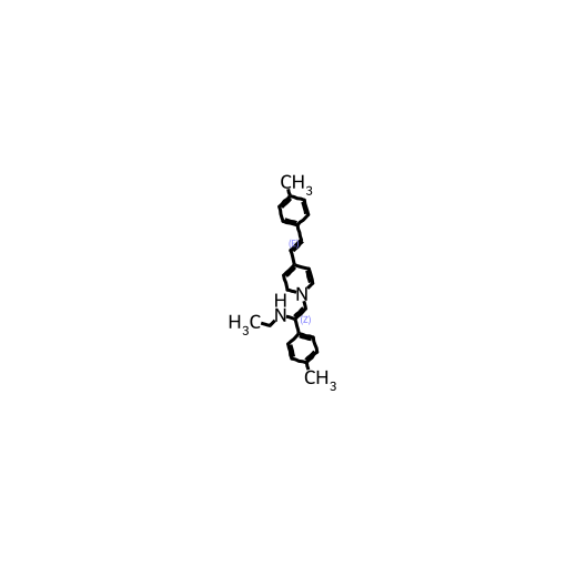 CCN/C(=C\N1C=CC(/C=C/c2ccc(C)cc2)=CC1)c1ccc(C)cc1